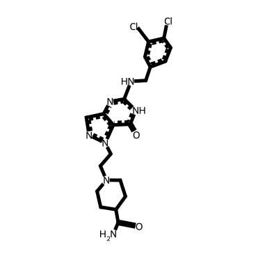 NC(=O)C1CCN(CCn2ncc3nc(NCc4ccc(Cl)c(Cl)c4)[nH]c(=O)c32)CC1